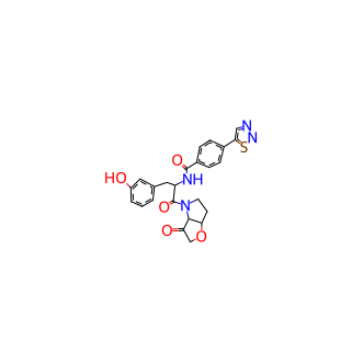 O=C(NC(Cc1cccc(O)c1)C(=O)N1CCC2OCC(=O)C21)c1ccc(-c2cnns2)cc1